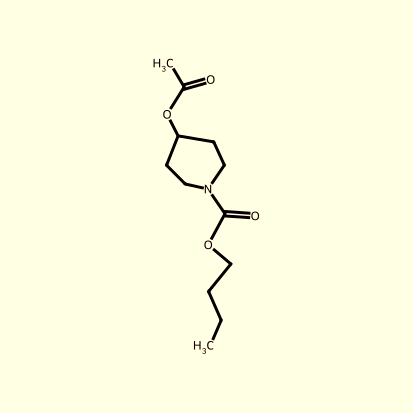 CCCCOC(=O)N1CCC(OC(C)=O)CC1